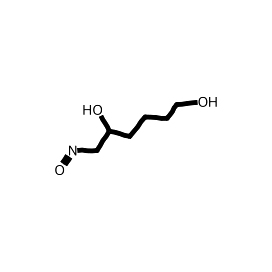 O=NCC(O)CCCCO